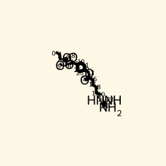 CCCS(=O)(=O)OC(=O)c1ccc(OC(=O)CCCCCNC(=N)N)cc1